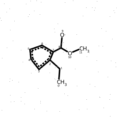 CCc1ccccc1C([O])OC